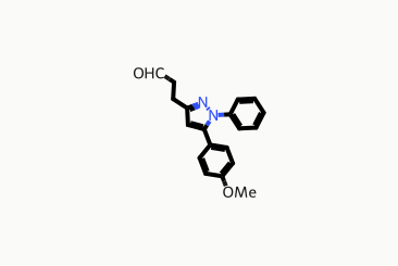 COc1ccc(-c2cc(CCC=O)nn2-c2ccccc2)cc1